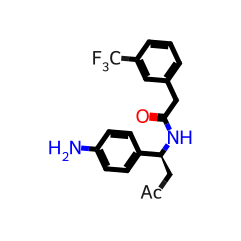 CC(=O)C[C@H](NC(=O)Cc1cccc(C(F)(F)F)c1)c1ccc(N)cc1